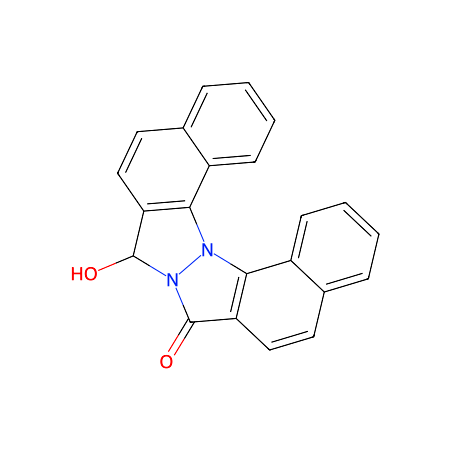 O=c1c2ccc3ccccc3c2n2n1C(O)c1ccc3ccccc3c1-2